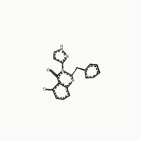 O=c1c2c(Cl)cccc2nc(Cc2ccccc2)n1-c1cc[nH]n1